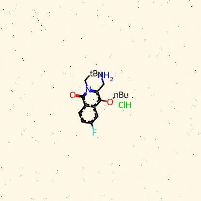 CCCCOc1c(CN)n(CC(C)(C)C)c(=O)c2ccc(F)cc12.Cl